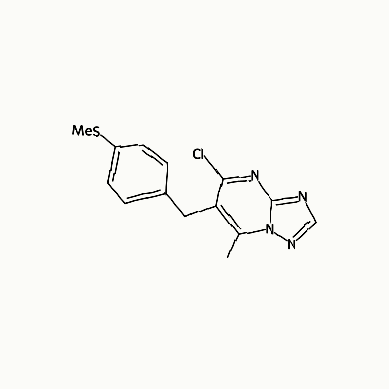 CSc1ccc(Cc2c(Cl)nc3ncnn3c2C)cc1